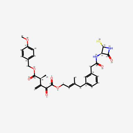 C=C(C(=O)C(=O)OC/C=C(\C)Cc1cccc(CC(=O)N[C@@H]2C(=O)N[C@@H]2S)c1)[C@H](C)C(=O)OCc1ccc(OC)cc1